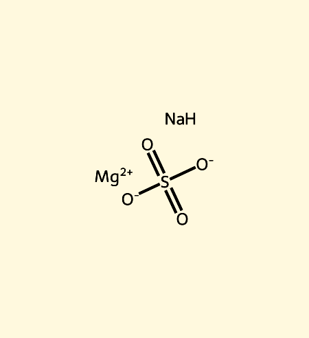 O=S(=O)([O-])[O-].[Mg+2].[NaH]